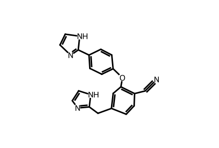 N#Cc1ccc(Cc2ncc[nH]2)cc1Oc1ccc(-c2ncc[nH]2)cc1